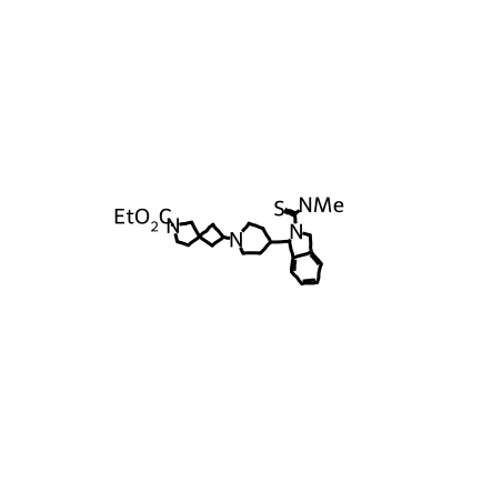 CCOC(=O)N1CCC2(CC(N3CCC(C4c5ccccc5CN4C(=S)NC)CC3)C2)C1